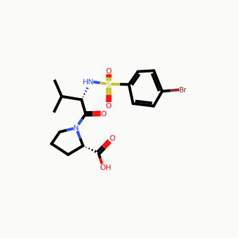 CC(C)[C@H](NS(=O)(=O)c1ccc(Br)cc1)C(=O)N1CCC[C@H]1C(=O)O